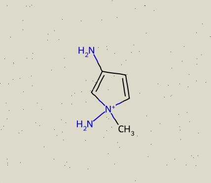 C[N+]1(N)C=CC(N)=C1